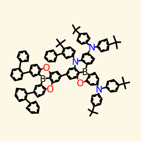 CC(C)(C)c1ccc(N(c2ccc(C(C)(C)C)cc2)c2ccc3c(c2)Oc2cc(-c4cc5c6c(c4)Oc4ccc(-c7ccccc7-c7ccccc7)cc4B6c4cc(-c6ccccc6-c6ccccc6)ccc4O5)cc4c2B3c2ccc(N(c3ccc(C(C)(C)C)cc3)c3ccc(C(C)(C)C)cc3)cc2N4c2ccc(C(C)(C)C)c(-c3ccccc3)c2)cc1